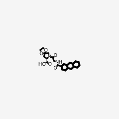 O=C(NCC(=O)N1CC2(C[C@H]1C(=O)O)OCCO2)c1ccc2cc3ccccc3cc2c1